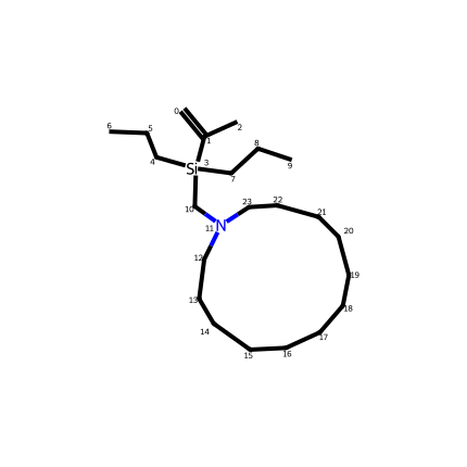 C=C(C)[Si](CCC)(CCC)CN1CCCCCCCCCCCC1